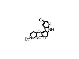 CCN1CCC(Oc2c(C#N)ncc3[nH]c4ncc(Cl)cc4c23)CC1